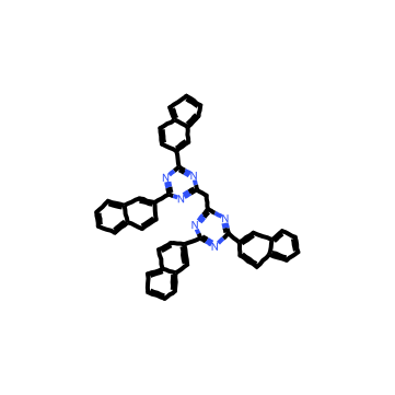 c1ccc2cc(-c3nc(Cc4nc(-c5ccc6ccccc6c5)nc(-c5ccc6ccccc6c5)n4)nc(-c4ccc5ccccc5c4)n3)ccc2c1